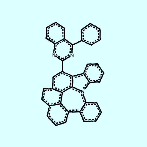 c1ccc(-c2nc(-c3cc4ccc5cccc6c7ccccc7n7c8ccccc8c3c7c4c56)nc3ccccc23)cc1